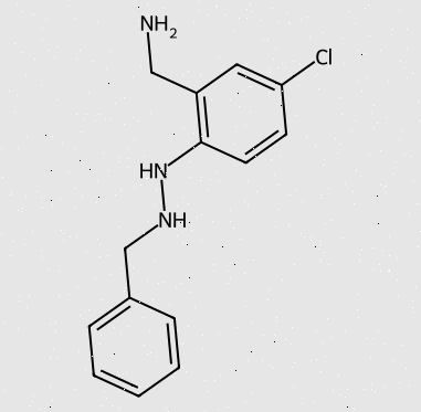 NCc1cc(Cl)ccc1NNCc1ccccc1